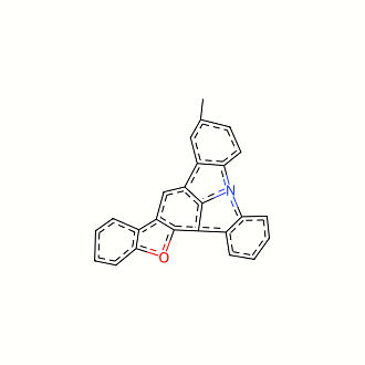 Cc1ccc2c(c1)c1cc3c4ccccc4oc3c3c4ccccc4n2c13